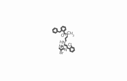 CN(CCCNc1cc(-c2ccccc2Cl)nc2c(Br)cnn12)C(=O)c1ccccc1Cc1ccccc1